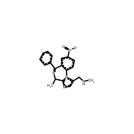 CNCc1cnc2n1-c1ccc([N+](=O)[O-])cc1C(c1ccccc1)=NC2C